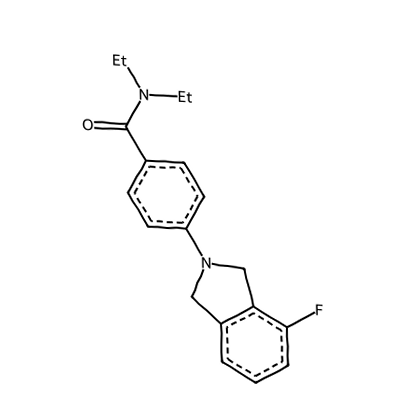 CCN(CC)C(=O)c1ccc(N2Cc3cccc(F)c3C2)cc1